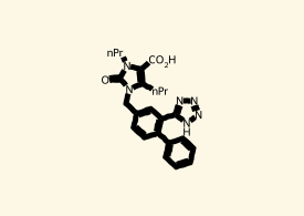 CCCc1c(C(=O)O)n(CCC)c(=O)n1Cc1ccc(-c2ccccc2)c(-c2nnn[nH]2)c1